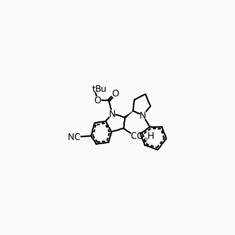 CC(C)(C)OC(=O)N1c2cc(C#N)ccc2C(C(=O)O)C1[C@H]1CCCN1c1ccccc1